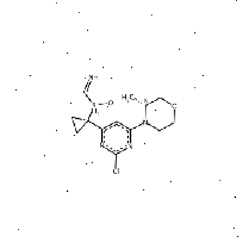 C[C@@H]1COCCN1c1cc(C2([SH2+]([O-])C=N)CC2)nc(Cl)n1